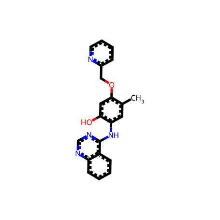 Cc1cc(Nc2ncnc3ccccc23)c(O)cc1OCc1ccccn1